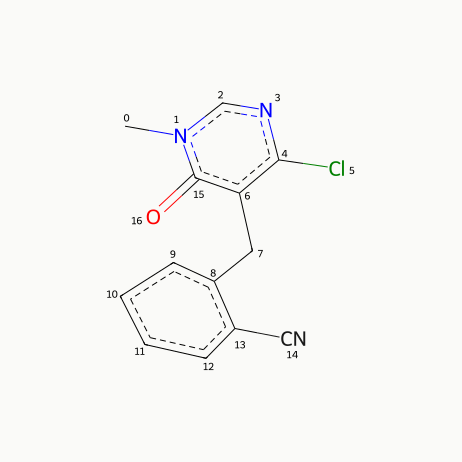 Cn1cnc(Cl)c(Cc2ccccc2C#N)c1=O